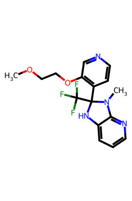 COCCOc1cnccc1C1(C(F)(F)F)Nc2cccnc2N1C